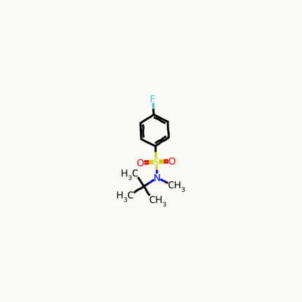 CN(C(C)(C)C)S(=O)(=O)c1ccc(F)cc1